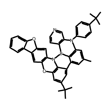 Cc1cc2c3c(c1)N(c1ccc(C(C)(C)C)cc1)c1cnccc1B3N1c3cc4oc5ccccc5c4cc3Oc3cc(C(C)(C)C)cc-2c31